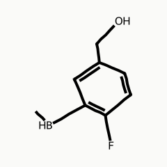 CBc1cc(CO)ccc1F